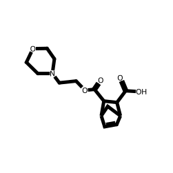 O=C(O)C1C2C=CC(C2)C1C(=O)OCCN1CCOCC1